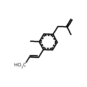 C=C(C)Cc1ccc(C=CC(=O)O)c(C)c1